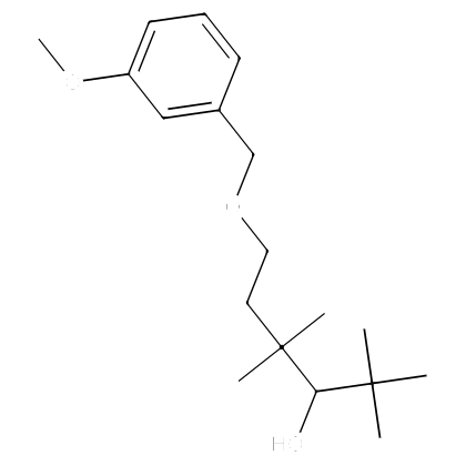 COc1cccc(COCCC(C)(C)C(O)C(C)(C)C)c1